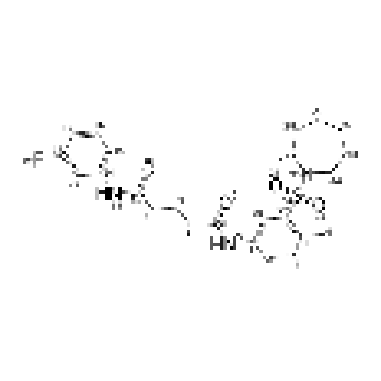 Cc1ccc(NC(=O)CCCC(=O)Nc2cccc(F)c2)cc1S(=O)(=O)N1CCCCCC1